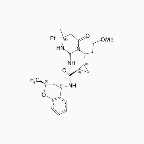 CC[C@]1(C)CC(=O)N(C(CCOC)[C@@H]2C[C@H]2C(=O)N[C@H]2C[C@H](C(F)(F)F)Oc3ccccc32)C(=N)N1